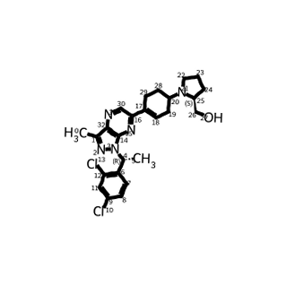 Cc1nn([C@H](C)c2ccc(Cl)cc2Cl)c2nc(C3=CCC(N4CCC[C@H]4CO)CC3)cnc12